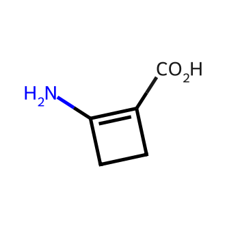 NC1=C(C(=O)O)CC1